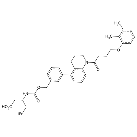 Cc1cccc(OCCCC(=O)N2CCCc3c(-c4cccc(COC(=O)NC(CC(=O)O)CC(C)C)c4)cccc32)c1C